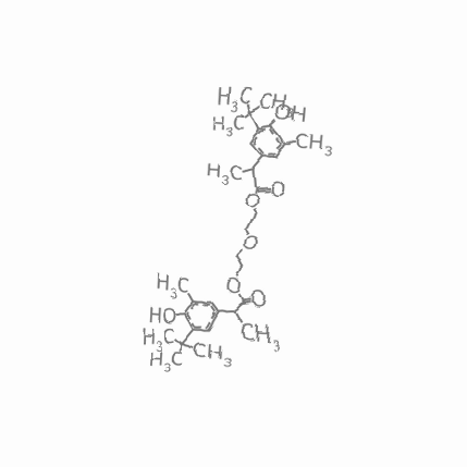 Cc1cc(C(C)C(=O)OCCOCCOC(=O)C(C)c2cc(C)c(O)c(C(C)(C)C)c2)cc(C(C)(C)C)c1O